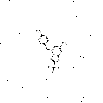 CCC(F)(F)c1cc2nc(C)cc(Cc3ccc(C)cc3)n2n1